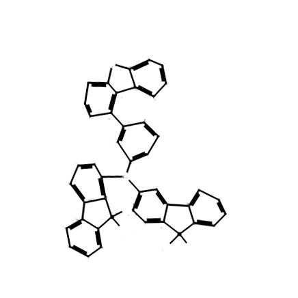 CC1(C)c2ccccc2-c2cc(N(c3cccc(-c4cccc5sc6ccccc6c45)c3)c3cccc4c3C(C)(C)c3ccccc3-4)ccc21